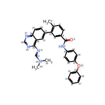 Cc1ccc(C(=O)Nc2ccc(Oc3ccccc3)cc2)cc1-c1ccc2ncnc(N=CN(C)C)c2c1